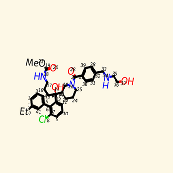 CCc1cccc(-c2c(Cl)cccc2[C@](O)(CCCNC(=O)OC)[C@@H]2CCCN(C(=O)c3ccc(CNCCO)cc3)C2)c1